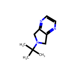 CC(C)(C)N1Cc2nccnc2C1